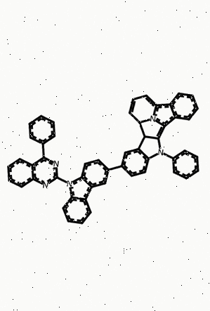 C1=CC2C3C(=c4c5ccccc5c(n42)=C1)N(c1ccccc1)c1ccc(-c2ccc4c(c2)c2ccccc2n4-c2nc(-c4ccccc4)c4ccccc4n2)cc13